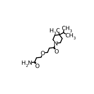 CC(C)C1(C)CCN(C(=O)CCOCCC(N)=O)CC1